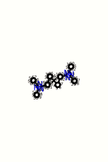 CC(C)(c1ccccc1-c1cccc(-c2nc(-c3ccccc3)nc(-c3ccccc3)n2)c1)c1ccccc1-c1cccc(-c2nc(-c3ccccc3)nc(-c3ccccc3)n2)c1